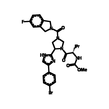 COC(=O)N[C@H](C(=O)N1CN(C(=O)N2Cc3ccc(F)cc3C2)CC1c1nc(-c2ccc(Br)cc2)c[nH]1)C(C)C